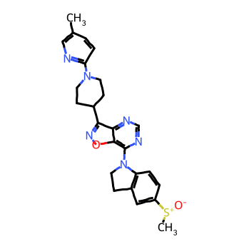 Cc1ccc(N2CCC(c3noc4c(N5CCc6cc([S+](C)[O-])ccc65)ncnc34)CC2)nc1